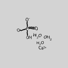 O.O.O.O=P([O-])([O-])O.[Ca+2]